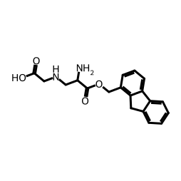 NC(CNCC(=O)O)C(=O)OCc1cccc2c1Cc1ccccc1-2